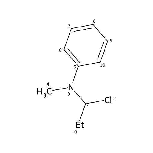 CCC(Cl)N(C)c1ccccc1